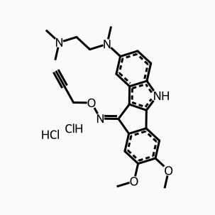 C#CCO/N=C1/c2cc(OC)c(OC)cc2-c2[nH]c3ccc(N(C)CCN(C)C)cc3c21.Cl.Cl